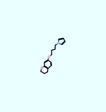 c1ccn(CCCCOc2ccc3c(c2)OCCC3)c1